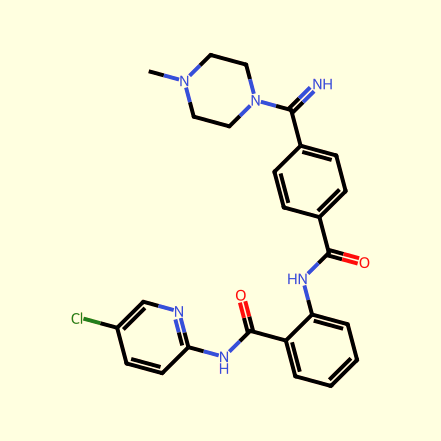 CN1CCN(C(=N)c2ccc(C(=O)Nc3ccccc3C(=O)Nc3ccc(Cl)cn3)cc2)CC1